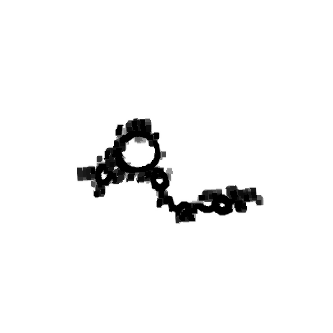 CC[C@H]1OC(=O)[C@H](C)[C@@H](O[C@H]2C[C@@](C)(OC)[C@@H](O)[C@H](C)O2)[C@H](C)[C@@H](O[C@H]2C[C@@H](N(C)CCc3cn([C@H](CO)Cc4ccc(S(N)(=O)=O)cc4)nn3)C[C@@H](C)O2)[C@](C)(O)C[C@@H](C)CN(C)[C@H](C)[C@@H](O)[C@]1(C)O